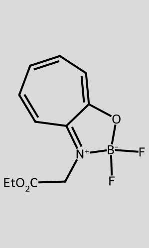 CCOC(=O)C[N+]1=C2C=CC=CC=C2O[B-]1(F)F